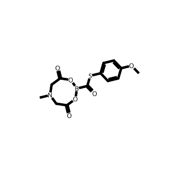 COc1ccc(SC(=O)B2OC(=O)CN(C)CC(=O)O2)cc1